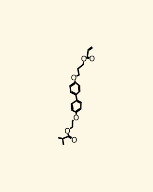 C=CC(=O)OCCCOc1ccc(-c2ccc(OCCOC(=O)C(C)C)cc2)cc1